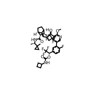 COc1ncc(-c2cc([C@H](OC(=O)NC3CCC3)C(F)(F)F)ccc2F)cc1C(=O)N[C@H]1[C@@H](C(=O)N[C@H](C)C2(C)CC2)[C@H]2CC[C@@H]1/C2=C\C1CC(F)(F)C1